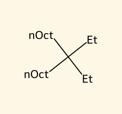 CCCCCCCCC(CC)(CC)CCCCCCCC